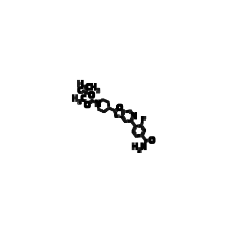 CC(C)(C)OC(=O)N1CCC(c2cc3cc(-c4ccc(C(N)=O)cc4F)ncc3o2)CC1